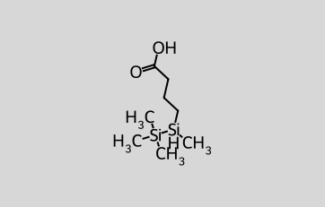 C[SiH](CCCC(=O)O)[Si](C)(C)C